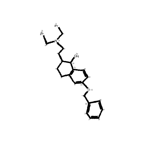 CC(C)CN(CCC1CCc2cc(OCc3ccccc3)ccc2C1O)CC(C)C